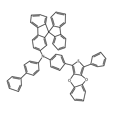 c1ccc(-c2ccc(N(c3ccc(-c4sc(-c5ccccc5)c5c4Oc4ccccc4O5)cc3)c3ccc4c(c3)C3(c5ccccc5-c5ccccc53)c3ccccc3-4)cc2)cc1